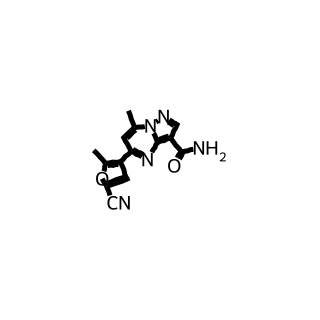 Cc1oc(C#N)cc1-c1cc(C)n2ncc(C(N)=O)c2n1